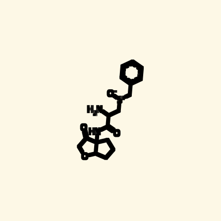 NC(C[S+]([O-])Cc1ccccc1)C(=O)NC12CCCC1OCC2=O